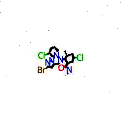 CN=c1oc(-c2cc(Br)nn2-c2ncccc2Cl)nc2c(C)cc(Cl)cc12